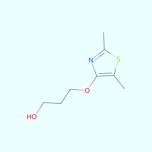 Cc1nc(OCCCO)c(C)s1